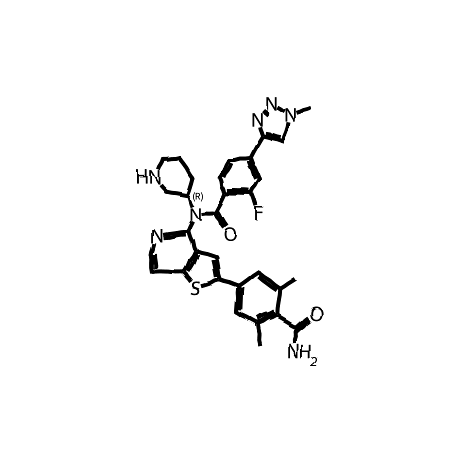 Cc1cc(-c2cc3c(N(C(=O)c4ccc(-c5cn(C)nn5)cc4F)[C@@H]4CCCNC4)nccc3s2)cc(C)c1C(N)=O